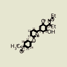 CCON=C(CC)C1=C(O)CC(c2cccc(Oc3ccc([S+](C)[O-])cc3)n2)CC1=O